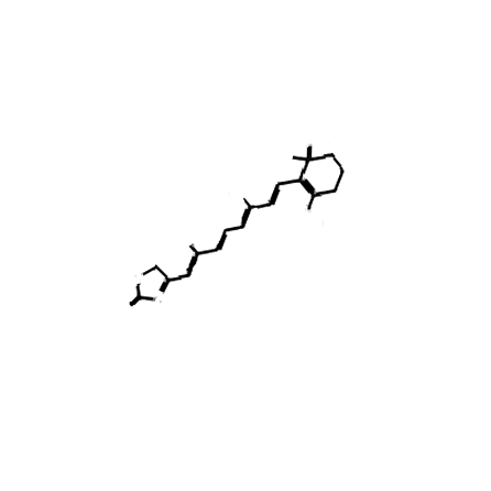 CC1=C(/C=C/C(C)=C/C=C/C(C)=C/C2=NC(=O)NC2)C(C)(C)CCC1